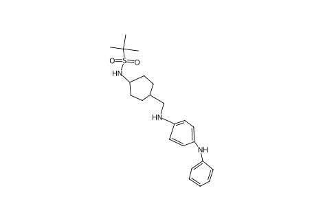 CC(C)(C)S(=O)(=O)NC1CCC(CNc2ccc(Nc3ccccc3)cc2)CC1